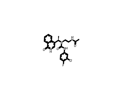 CC(=O)NCCN(C(=O)Nc1ccc(F)c(Cl)c1)[C@H](C)c1c[nH]c(=O)c2ccccc12